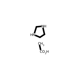 C1CNCN1.CC(=O)O